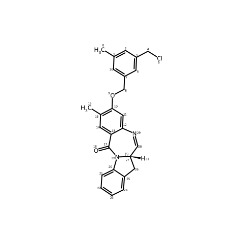 Cc1cc(CCl)cc(COc2cc3c(cc2C)C(=O)N2c4ccccc4C[C@H]2C=N3)c1